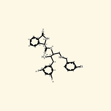 CCc1cccc(CNCC(OC(=O)[C@@H]2NC(=O)c3ccccc32)C(N)Cc2cc(F)cc(F)c2)c1